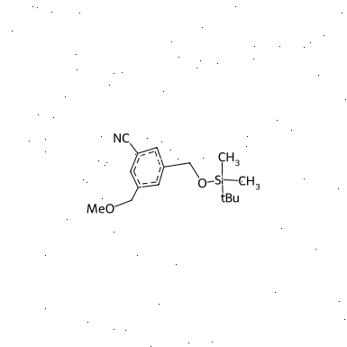 COCc1cc(C#N)cc(CO[Si](C)(C)C(C)(C)C)c1